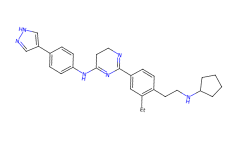 CCc1cc(C2=NCCC(Nc3ccc(-c4cn[nH]c4)cc3)=N2)ccc1CCNC1CCCC1